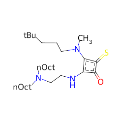 CCCCCCCCN(CCCCCCCC)CCNc1c(N(C)CCCC(C)(C)C)c(=S)c1=O